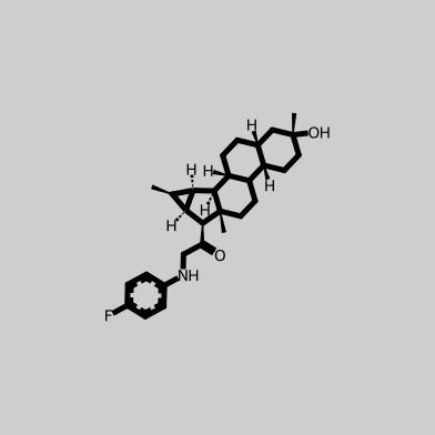 C[C@H]1[C@@H]2[C@H]1[C@H](C(=O)CNc1ccc(F)cc1)[C@@]1(C)CCC3[C@H]4CC[C@@](C)(O)C[C@H]4CC[C@H]3[C@H]21